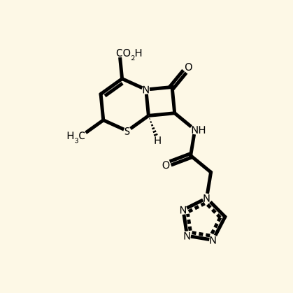 CC1C=C(C(=O)O)N2C(=O)C(NC(=O)Cn3cnnn3)[C@H]2S1